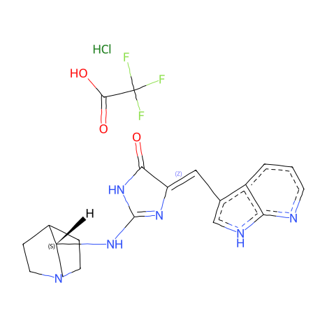 Cl.O=C(O)C(F)(F)F.O=C1NC(N[C@@H]2CN3CCC2CC3)=N/C1=C\c1c[nH]c2ncccc12